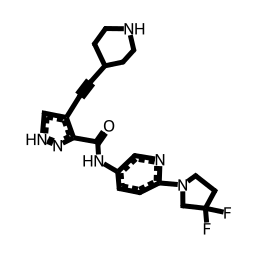 O=C(Nc1ccc(N2CCC(F)(F)C2)nc1)c1n[nH]cc1C#CC1CCNCC1